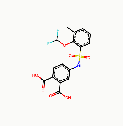 Cc1cccc(S(=O)(=O)Nc2ccc(C(=O)O)c(C(=O)O)c2)c1OC(F)F